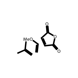 C=C(C)C.C=COC.O=C1C=CC(=O)O1